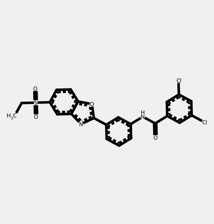 CCS(=O)(=O)c1ccc2oc(-c3cccc(NC(=O)c4cc(Cl)cc(Cl)c4)c3)nc2c1